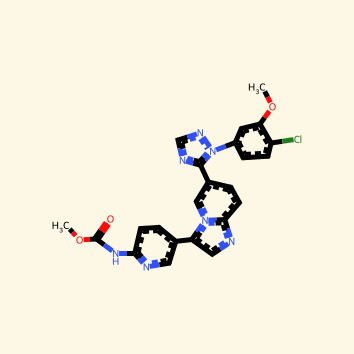 COC(=O)Nc1ccc(-c2cnc3ccc(-c4ncnn4-c4ccc(Cl)c(OC)c4)cn23)cn1